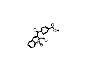 O=Cc1c(C(=O)c2ccc(C(=O)O)cc2)cc2ccccc2[n+]1[O-]